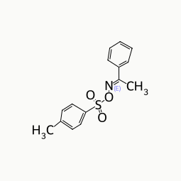 C/C(=N\OS(=O)(=O)c1ccc(C)cc1)c1ccccc1